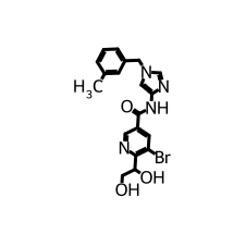 Cc1cccc(Cn2cnc(NC(=O)c3cnc(C(O)CO)c(Br)c3)c2)c1